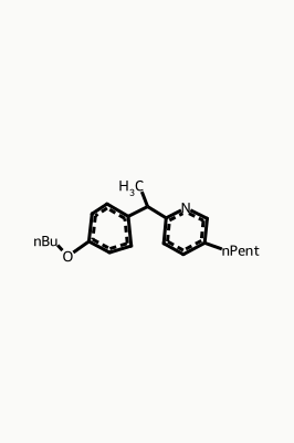 CCCCCc1ccc(C(C)c2ccc(OCCCC)cc2)nc1